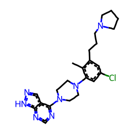 Cc1c(CCCN2CCCC2)cc(Cl)cc1N1CCN(c2ncnc3[nH]ncc23)CC1